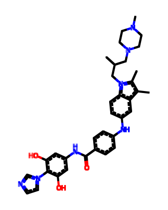 Cc1c(C)n(CC(C)CN2CCN(C)CC2)c2ccc(Nc3ccc(C(=O)Nc4cc(O)c(-n5ccnc5)c(O)c4)cc3)cc12